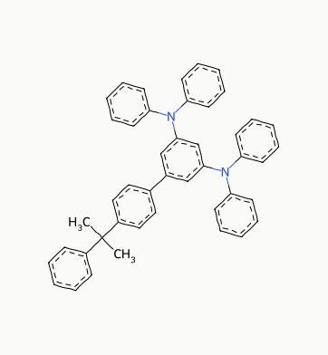 CC(C)(c1ccccc1)c1ccc(-c2cc(N(c3ccccc3)c3ccccc3)cc(N(c3ccccc3)c3ccccc3)c2)cc1